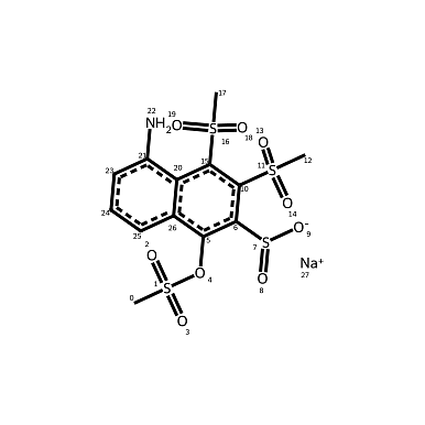 CS(=O)(=O)Oc1c(S(=O)[O-])c(S(C)(=O)=O)c(S(C)(=O)=O)c2c(N)cccc12.[Na+]